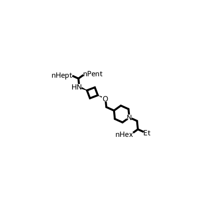 CCCCCCCC(CCCCC)N[C@H]1C[C@H](OCC2CCN(CC(CC)CCCCCC)CC2)C1